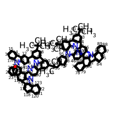 CC(C)(C)c1cc(-c2ccc3c(c2)c2ccccc2n3-c2ccccc2)c2c(c1)c1cc(C(C)(C)Cc3ccc(N(c4ccccc4)c4cc(C(C)(C)C)cc5c6cc(C(C)(C)C)cc7c8cc9c(nc8n(c45)c76)c4c5ccccc5cc5c6ccc7ccccc7c6n9c54)cc3)cc3c4cc5c(nc4n2c31)c1c2ccccc2cc2c3ccc4ccccc4c3n5c21